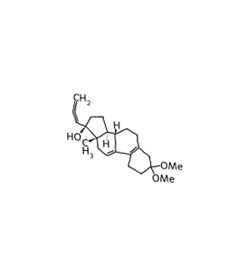 C=C=C[C@]1(O)CC[C@H]2[C@@H]3CCC4=C(CCC(OC)(OC)C4)C3=CC[C@@]21C